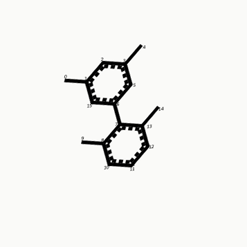 Cc1cc(C)cc(-c2c(C)c[c]cc2C)c1